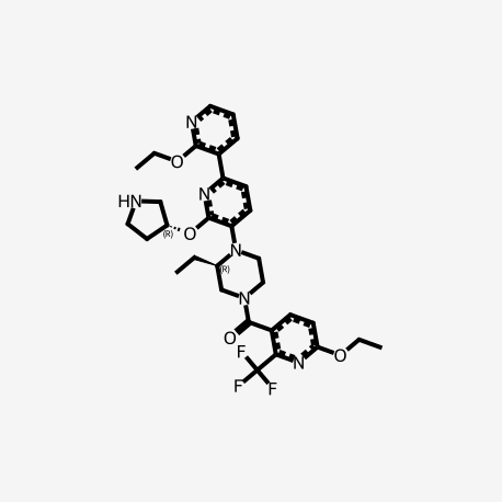 CCOc1ccc(C(=O)N2CCN(c3ccc(-c4cccnc4OCC)nc3O[C@@H]3CCNC3)[C@H](CC)C2)c(C(F)(F)F)n1